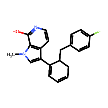 Cn1cc(C2=CC=CCC2Cc2ccc(F)cc2)c2ccnc(O)c21